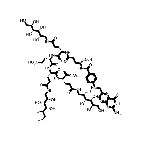 CNC(=O)[C@H](CCC(=O)NC[C@H](O)[C@@H](O)[C@H](O)[C@H](O)CO)NC(=O)[C@H](CCC(=O)NC[C@H](O)[C@@H](O)[C@H](O)[C@H](O)CO)NC(=O)[C@H](CCC(=O)O)NC(=O)[C@H](CCC(=O)NC[C@H](O)[C@@H](O)[C@H](O)[C@H](O)CO)NC(=O)CC[C@H](NC(=O)c1ccc(NCc2cnc3nc(N)[nH]c(=O)c3n2)cc1)C(=O)O